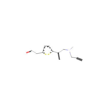 C#CCN(C)CC(=C)c1ccc(CC=O)s1